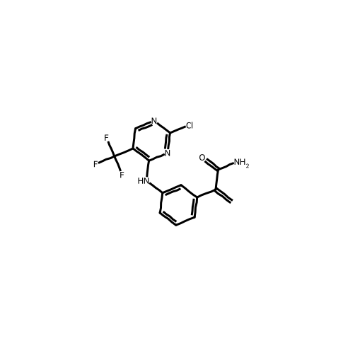 C=C(C(N)=O)c1cccc(Nc2nc(Cl)ncc2C(F)(F)F)c1